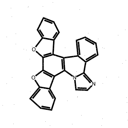 c1ccc2c(c1)oc1c3oc4ccccc4c3c3c(c4ccccc4c4nccn43)c21